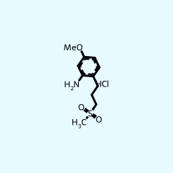 COc1ccc(CCCS(C)(=O)=O)c(N)c1.Cl